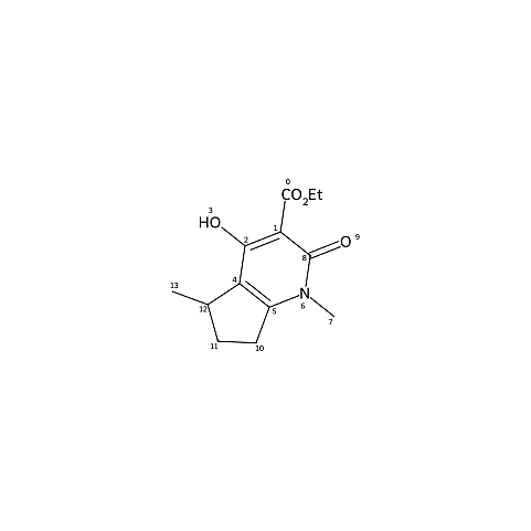 CCOC(=O)c1c(O)c2c(n(C)c1=O)CCC2C